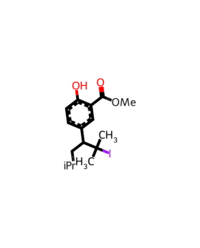 COC(=O)c1cc(C(CC(C)C)C(C)(C)I)ccc1O